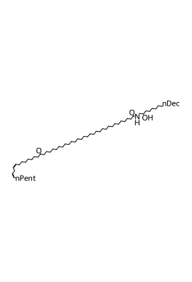 CCCCC/C=C\C/C=C\CCCCCCCC(=O)CCCCCCCCCCCCCCCCCCCCCCCCCCCCCC(=O)NC[C@H](O)CCCCCCCCCCCCCCCC